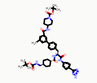 Cc1cc(C(=O)NC2CCN(C(=O)OC(C)(C)C)CC2)cc(-c2ccc(C[C@H](NC(=O)[C@H]3CC[C@H](CNC(=O)OC(C)(C)C)CC3)C(=O)Nc3ccc(-c4nn[nH]n4)cc3)cc2)c1